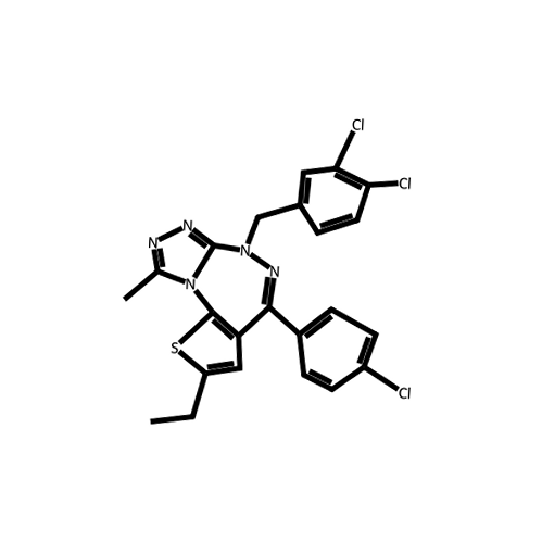 CCc1cc2c(s1)-n1c(C)nnc1N(Cc1ccc(Cl)c(Cl)c1)N=C2c1ccc(Cl)cc1